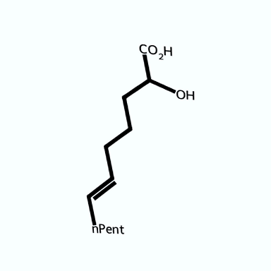 CCCCCC=CCCCC(O)C(=O)O